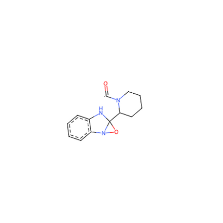 O=[C]N1CCCCC1C12Nc3ccccc3N1O2